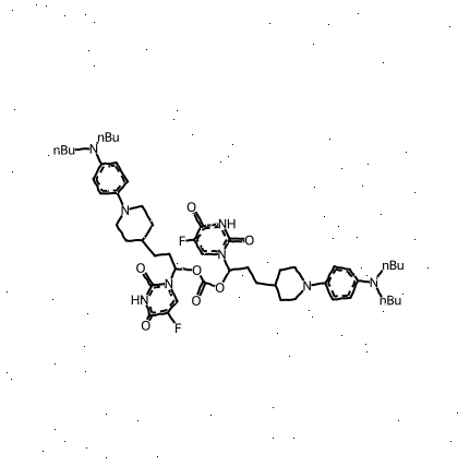 CCCCN(CCCC)c1ccc(N2CCC(CCC(OC(=O)OC(CCC3CCN(c4ccc(N(CCCC)CCCC)cc4)CC3)n3cc(F)c(=O)[nH]c3=O)n3cc(F)c(=O)[nH]c3=O)CC2)cc1